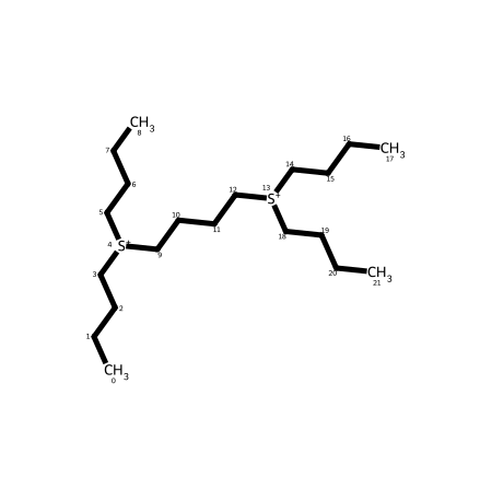 CCCC[S+](CCCC)CCCC[S+](CCCC)CCCC